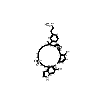 CC1(c2cccc(CCC(=O)O)c2)CCCCCS(=O)(=O)CCc2c(c(F)cc3[nH]ccc23)Oc2ccc(F)c(c2)-c2ncc1[nH]2